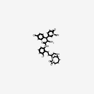 CC(C)n1cc(C(c2ccc(Cl)cc2)C(N)C(=O)Nc2cccc(F)c2CCC2CNC3CCCS(=O)(=O)N2C3)ccc1=O